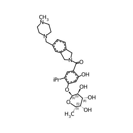 CC(C)c1cc(C(=O)N2Cc3ccc(CN4CCN(C)CC4)cc3C2)c(O)cc1O[C@@H]1O[C@@H](C)[C@@H](O)[C@@H](O)[C@@H]1O